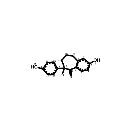 C=C1c2ccc(O)cc2CCCC1(C)c1ccc(O)cc1